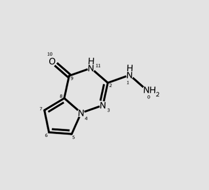 NNc1nn2cccc2c(=O)[nH]1